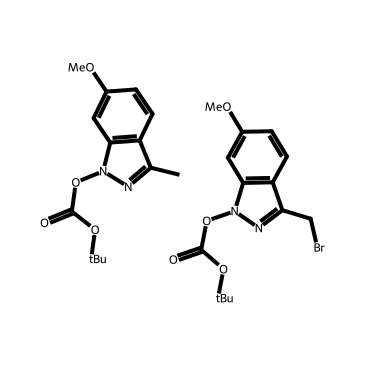 COc1ccc2c(C)nn(OC(=O)OC(C)(C)C)c2c1.COc1ccc2c(CBr)nn(OC(=O)OC(C)(C)C)c2c1